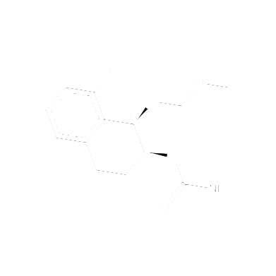 COCO[C@@H]1c2c(Cl)cccc2CC[C@@H]1OC(N)=O